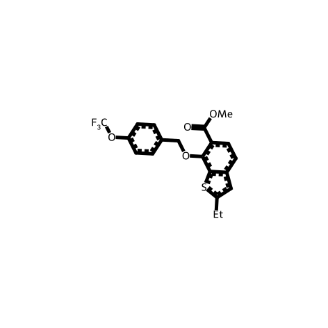 CCc1cc2ccc(C(=O)OC)c(OCc3ccc(OC(F)(F)F)cc3)c2s1